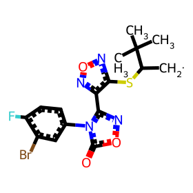 [CH2]C(Sc1nonc1-c1noc(=O)n1-c1ccc(F)c(Br)c1)C(C)(C)C